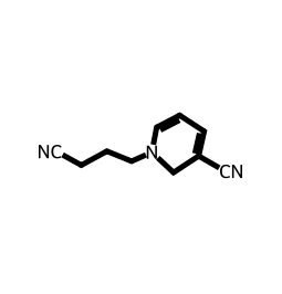 N#CCCCN1C=CC=C(C#N)C1